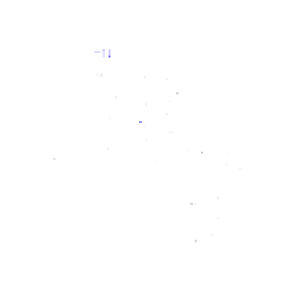 C1=Cc2c(sc3c(N(c4ccc(-c5ccccc5)cc4)c4ccc(-c5cc6ccccc6c6ccccc56)cc4)cccc23)CN1